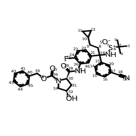 CC(C)(C)[S@@+]([O-])NC(CCC1CC1)(c1cccc(C#N)c1)c1ccc(F)c(NC(=O)[C@H]2C[C@@H](O)CN2C(=O)OCc2ccccc2)c1